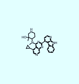 CN(c1nc(-c2ccnc3[nH]c4ccccc4c23)nc2cncc(C3CC3)c12)C1CCNCC1(C)O